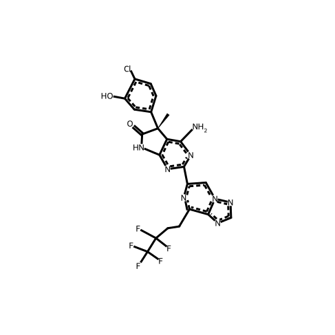 C[C@]1(c2ccc(Cl)c(O)c2)C(=O)Nc2nc(-c3cn4ncnc4c(CCC(F)(F)C(F)(F)F)n3)nc(N)c21